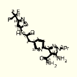 CC(C)n1nc(-c2ccc(CC(=O)Nc3cc(C(C)(F)F)no3)cn2)c(C(N)=O)c1N